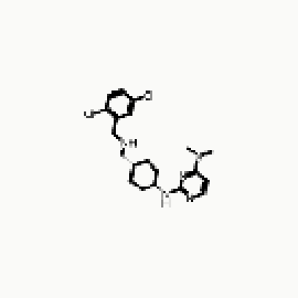 CN(C)c1ccnc(N[C@H]2CC[C@@H](CNCc3cc(Cl)ccc3Cl)CC2)n1